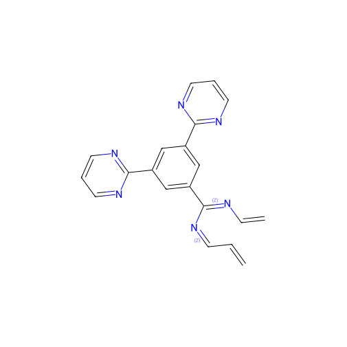 C=C/C=N\C(=N/C=C)c1cc(-c2ncccn2)cc(-c2ncccn2)c1